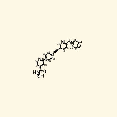 O=C(NO)c1ccnc(-c2ccc(C#Cc3ccc(CN4CCOCC4)nc3)cc2)c1